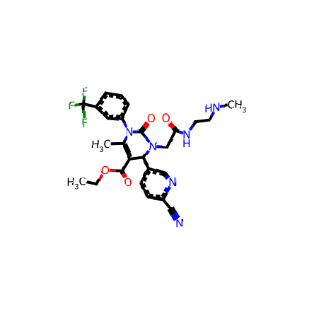 CCOC(=O)C1=C(C)N(c2cccc(C(F)(F)F)c2)C(=O)N(CC(=O)NCCNC)C1c1ccc(C#N)nc1